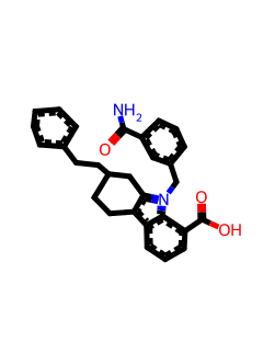 NC(=O)c1cccc(Cn2c3c(c4cccc(C(=O)O)c42)CCC(CCc2ccccc2)C3)c1